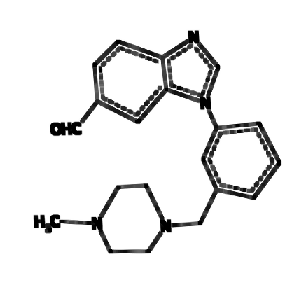 CN1CCN(Cc2cccc(-n3cnc4ccc(C=O)cc43)c2)CC1